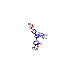 CC(C)(C)OC(=O)N1CCC(c2nnc([C@@H]3CC[C@@H]4CN3C(=O)N4OS(=O)(=O)O)s2)CC1.CCCC[N+](CCCC)(CCCC)CCCC